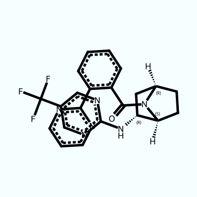 O=C(c1ccccc1-c1ncccn1)N1[C@@H]2CC[C@H]1[C@H](Nc1ncc(C(F)(F)F)cn1)C2